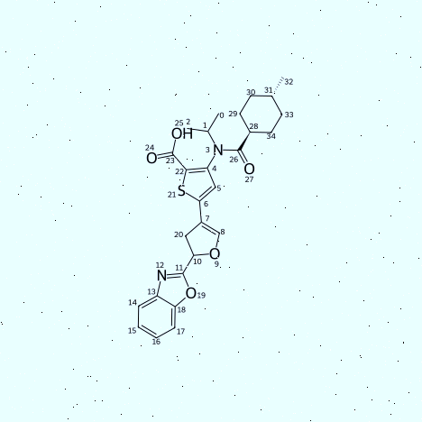 CC(C)N(c1cc(C2=COC(c3nc4ccccc4o3)C2)sc1C(=O)O)C(=O)[C@H]1CC[C@H](C)CC1